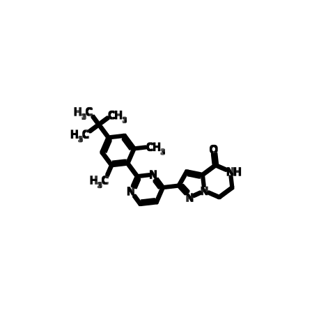 Cc1cc(C(C)(C)C)cc(C)c1-c1nccc(-c2cc3n(n2)CCNC3=O)n1